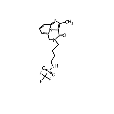 Cc1nc2cccc3n2c1C(=O)N(CCCCNS(=O)(=O)C(F)(F)F)C3